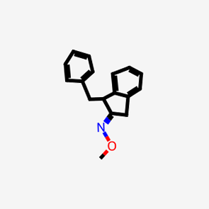 CO/N=C1\Cc2ccccc2C1Cc1ccccc1